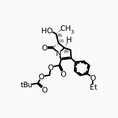 CCOc1ccc(C2=C(C(=O)OCOC(=O)C(C)(C)C)N3C(=O)[C@H]([C@@H](C)O)[C@H]3C2)cc1